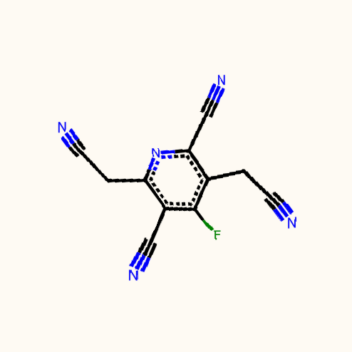 N#CCc1nc(C#N)c(CC#N)c(F)c1C#N